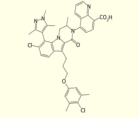 Cc1cc(OCCCc2c3n(c4c(-c5c(C)nn(C)c5C)c(Cl)ccc24)CC(C)N(c2ccc(C(=O)O)c4ncccc24)C3=O)cc(C)c1Cl